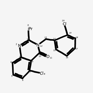 CC(C)c1nc2cccc(Cl)c2c(=O)n1Cc1ccccc1Cl